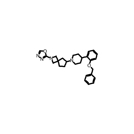 c1ccc(COc2ccccc2C2CCN(C3CCC4(C3)CN(c3nnco3)C4)CC2)cc1